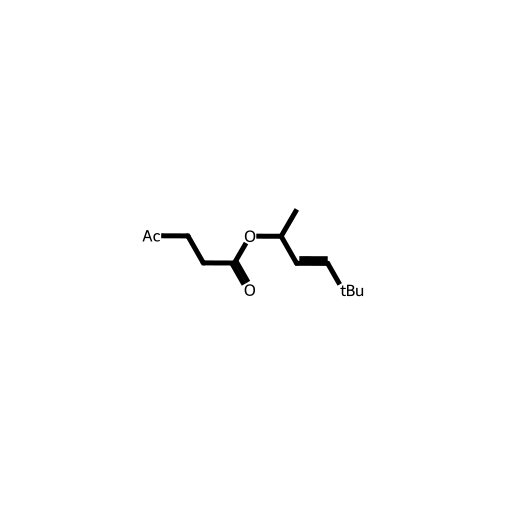 CC(=O)CCC(=O)OC(C)C=CC(C)(C)C